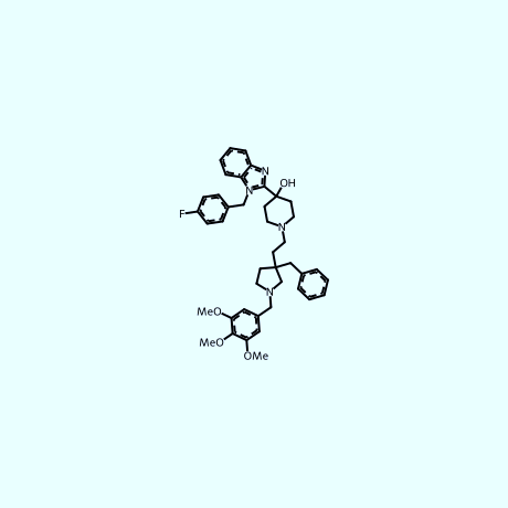 COc1cc(CN2CCC(CCN3CCC(O)(c4nc5ccccc5n4Cc4ccc(F)cc4)CC3)(Cc3ccccc3)C2)cc(OC)c1OC